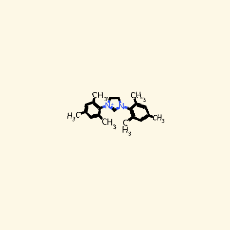 Cc1cc(C)c(N2C=[N+](c3c(C)cc(C)cc3C)[C]C2)c(C)c1